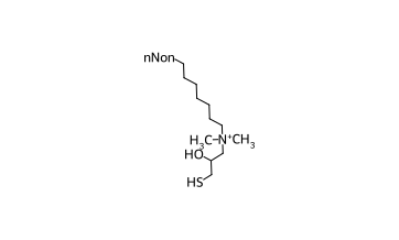 CCCCCCCCCCCCCCCC[N+](C)(C)CC(O)CS